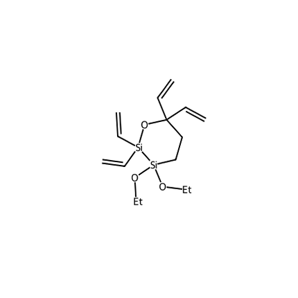 C=CC1(C=C)CC[Si](OCC)(OCC)[Si](C=C)(C=C)O1